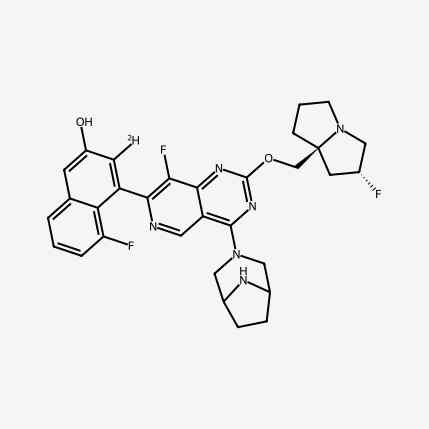 [2H]c1c(O)cc2cccc(F)c2c1-c1ncc2c(N3CC4CCC(C3)N4)nc(OC[C@@]34CCCN3C[C@H](F)C4)nc2c1F